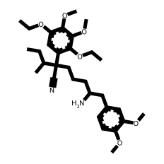 CCOc1cc(C(C#N)(CCCC(N)Cc2ccc(OC)c(OC)c2)C(C)CC)c(OCC)c(OC)c1OC